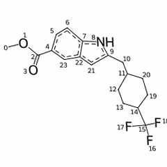 COC(=O)c1ccc2[nH]c(CC3CCC(C(F)(F)F)CC3)cc2c1